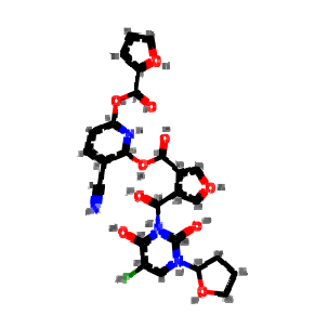 N#Cc1ccc(OC(=O)c2ccco2)nc1OC(=O)c1cocc1C(=O)n1c(=O)c(F)cn(C2CCCO2)c1=O